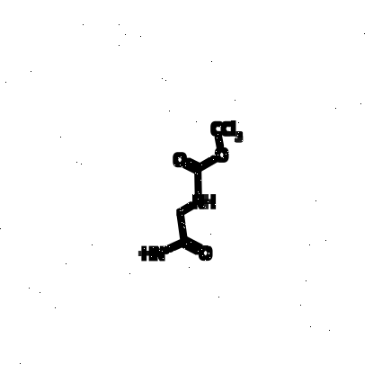 [NH]C(=O)CNC(=O)OC(Cl)(Cl)Cl